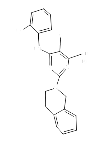 Cc1ccccc1Nc1nc(N2CCc3ccccc3C2)nc(C)c1C.Cl